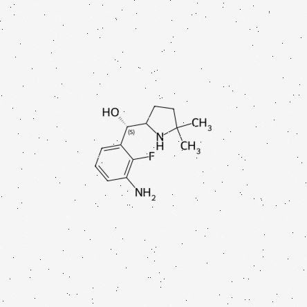 CC1(C)CCC([C@@H](O)c2cccc(N)c2F)N1